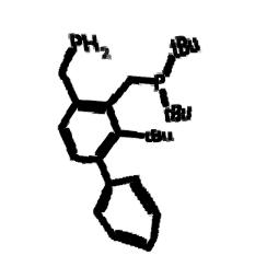 CC(C)(C)c1c(-c2ccccc2)ccc(CP)c1CP(C(C)(C)C)C(C)(C)C